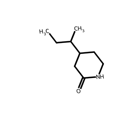 CCC(C)C1CCNC(=O)C1